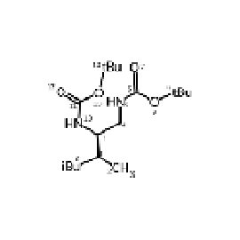 CCC(C)C(C)C(CNC(=O)OC(C)(C)C)NC(=O)OC(C)(C)C